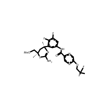 COC[C@@]1(C)C[C@@](C)(c2cc(NC(=O)c3cnc(OCC(C)(F)F)cn3)cc(F)c2F)N=C(N)S1